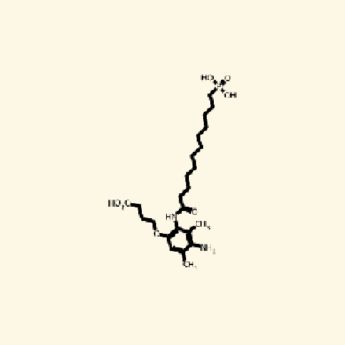 Cc1cc(OCCCC(=O)O)c(NC(=O)CCCCCCCCCCCP(=O)(O)O)c(C)c1N